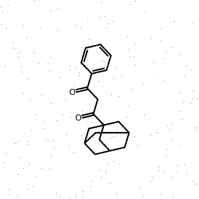 O=C(CC(=O)C12CC3CC(CC(C3)C1)C2)c1ccccc1